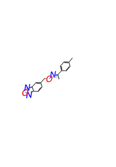 C/C(=N\OCc1ccc2nonc2c1)c1ccc(C)cc1